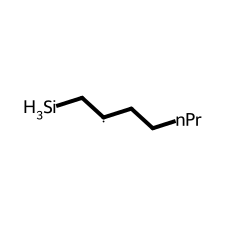 CCCCC[CH]C[SiH3]